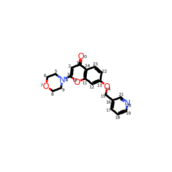 O=c1cc(N2CCOCC2)oc2cc(OCc3cccnc3)ccc12